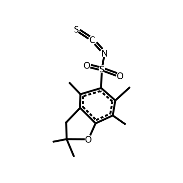 Cc1c(C)c(S(=O)(=O)N=C=S)c(C)c2c1OC(C)(C)C2